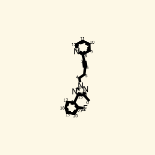 Cc1nn(CCC#Cc2ccccn2)nc1-c1ccccc1F